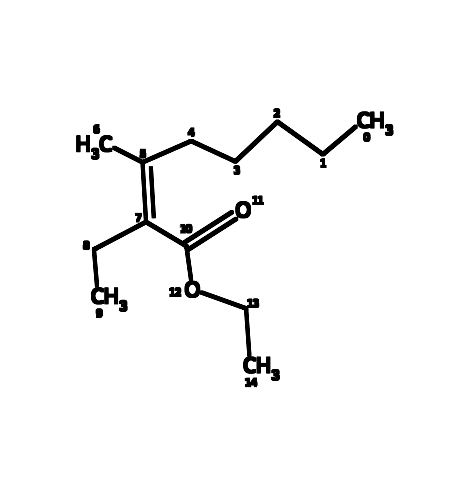 CCCCCC(C)=C(CC)C(=O)OCC